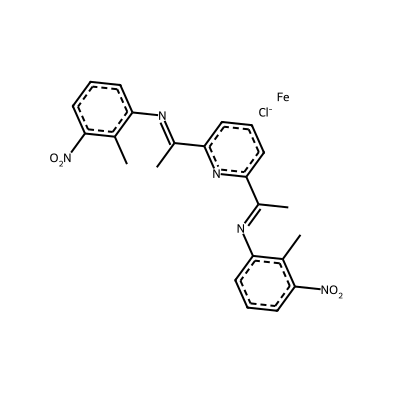 C/C(=N\c1cccc([N+](=O)[O-])c1C)c1cccc(/C(C)=N/c2cccc([N+](=O)[O-])c2C)n1.[Cl-].[Fe]